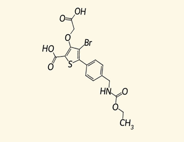 CCOC(=O)NCc1ccc(-c2sc(C(=O)O)c(OCC(=O)O)c2Br)cc1